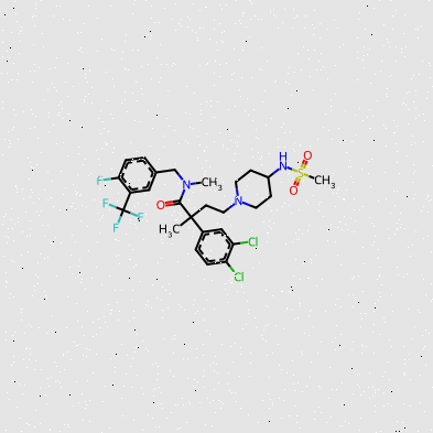 CN(Cc1ccc(F)c(C(F)(F)F)c1)C(=O)C(C)(CCN1CCC(NS(C)(=O)=O)CC1)c1ccc(Cl)c(Cl)c1